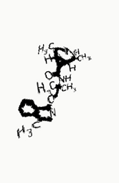 Cc1cnc(OCC(C)(C)NC(=O)C2[C@@H]3[C@H]2[C@H](C)N[C@H]3C)c2ccccc12